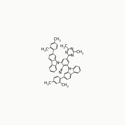 Cc1ccc(-c2ccc3c4ccccc4n(-c4cc(-c5nc(C)nc(C)n5)cc(-n5c6ccccc6c6ccc(-c7ccc(C)cc7C)cc65)c4C#N)c3c2)c(C)c1